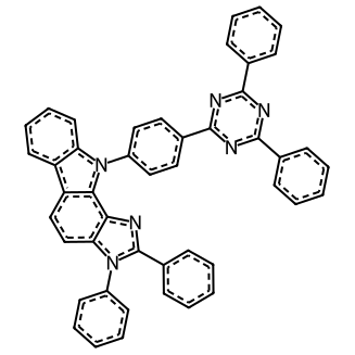 c1ccc(-c2nc(-c3ccccc3)nc(-c3ccc(-n4c5ccccc5c5ccc6c(nc(-c7ccccc7)n6-c6ccccc6)c54)cc3)n2)cc1